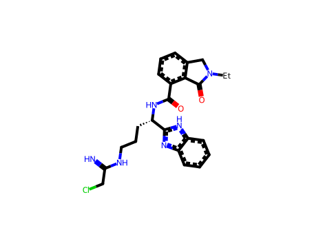 CCN1Cc2cccc(C(=O)N[C@@H](CCCNC(=N)CCl)c3nc4ccccc4[nH]3)c2C1=O